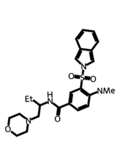 CCC(CN1CCOCC1)NC(=O)c1ccc(NC)c(S(=O)(=O)n2cc3ccccc3c2)c1